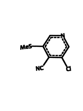 CSc1cncc(Cl)c1C#N